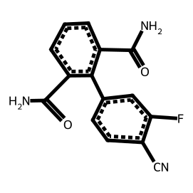 N#Cc1ccc(-c2c(C(N)=O)cccc2C(N)=O)cc1F